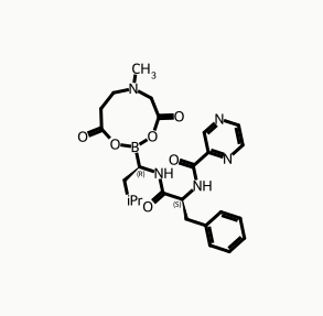 CC(C)C[C@H](NC(=O)[C@H](Cc1ccccc1)NC(=O)c1cnccn1)B1OC(=O)CCN(C)CC(=O)O1